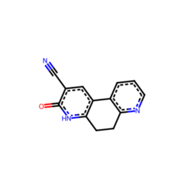 N#Cc1cc2c([nH]c1=O)CCc1ncccc1-2